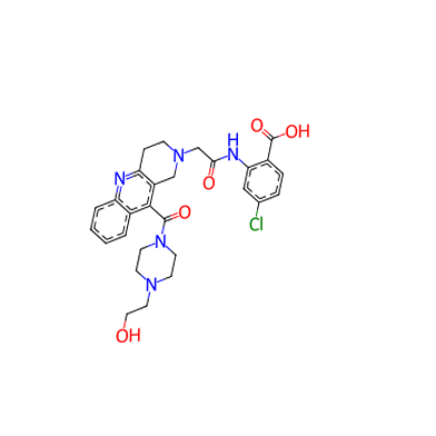 O=C(CN1CCc2nc3ccccc3c(C(=O)N3CCN(CCO)CC3)c2C1)Nc1cc(Cl)ccc1C(=O)O